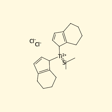 C[Si](C)=[Ti+2]([CH]1C=CC2=C1CCCC2)[CH]1C=CC2=C1CCCC2.[Cl-].[Cl-]